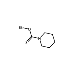 CCOC(=S)N1CCCCC1